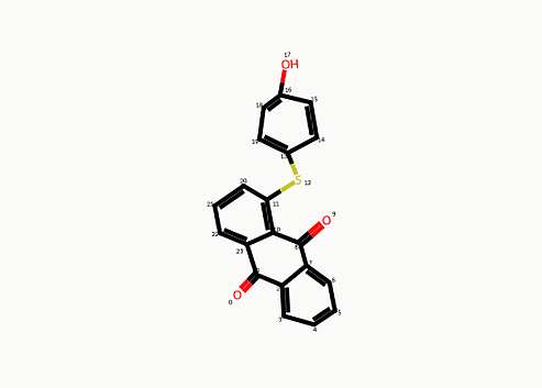 O=C1c2ccccc2C(=O)c2c(Sc3ccc(O)cc3)cccc21